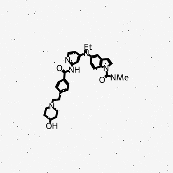 CCN(c1ccnc(NC(=O)c2ccc(CCN3CCC(O)CC3)cc2)c1)c1ccc2c(ccn2C(=O)NC)c1